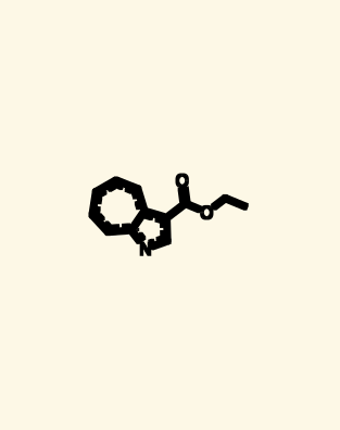 CCOC(=O)c1cnc2cccccc1-2